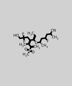 C=C(/C(C)=C(CC(F)(F)CO)\C(=C/C)O[C@H](C)CC(F)CC(C)C#N)S(C)(=O)=O